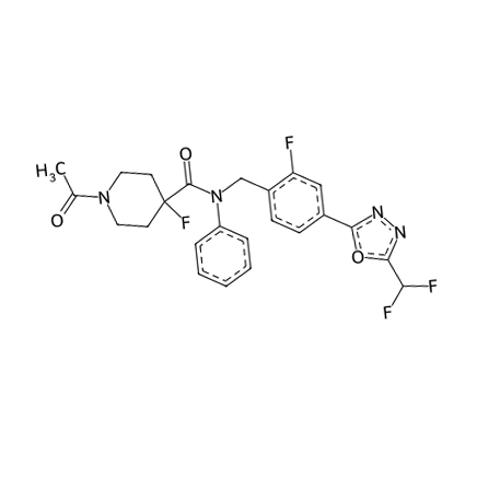 CC(=O)N1CCC(F)(C(=O)N(Cc2ccc(-c3nnc(C(F)F)o3)cc2F)c2ccccc2)CC1